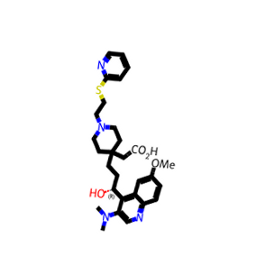 COc1ccc2ncc(N(C)C)c([C@H](O)CCC3(CC(=O)O)CCN(CCSc4ccccn4)CC3)c2c1